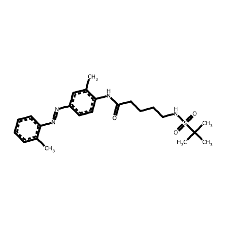 Cc1ccccc1/N=N/c1ccc(NC(=O)CCCCNS(=O)(=O)C(C)(C)C)c(C)c1